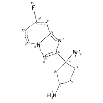 NC1CCC(N)(c2nc3cc(F)ccn3n2)C1